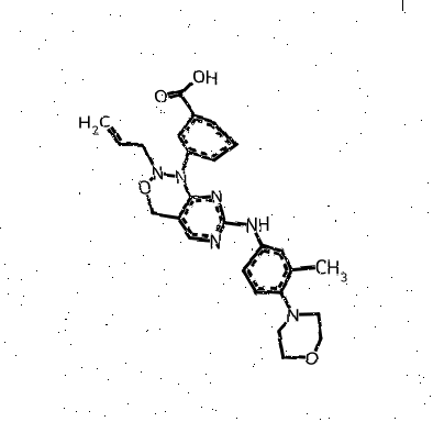 C=CCN1OCc2cnc(Nc3ccc(N4CCOCC4)c(C)c3)nc2N1c1cccc(C(=O)O)c1